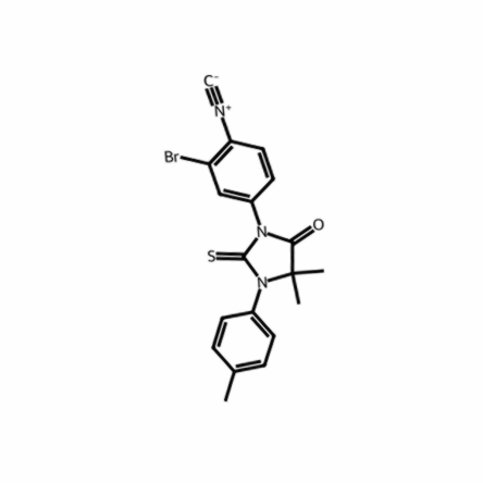 [C-]#[N+]c1ccc(N2C(=O)C(C)(C)N(c3ccc(C)cc3)C2=S)cc1Br